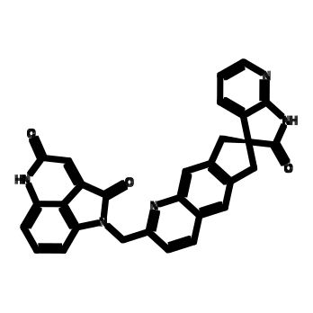 O=C1c2cc(=O)[nH]c3cccc(c23)N1Cc1ccc2cc3c(cc2n1)C[C@]1(C3)C(=O)Nc2ncccc21